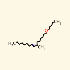 CCCCCCC/C=C/C(C)CCCCCCOCCCCC